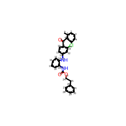 Cc1ccccc1C(=O)c1ccc(Nc2ccccc2NC(=O)OCCc2ccccc2)cc1Cl